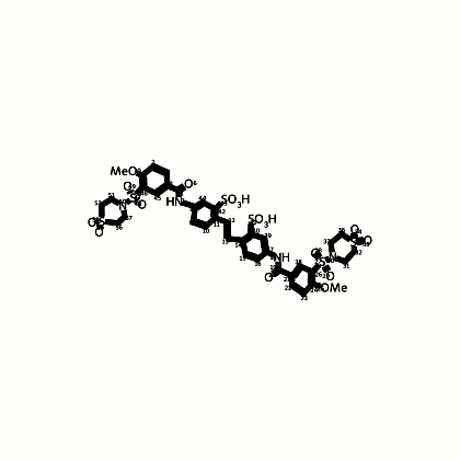 COc1ccc(C(=O)Nc2ccc(/C=C/c3ccc(NC(=O)c4ccc(OC)c(S(=O)(=O)N5CCS(=O)(=O)CC5)c4)cc3S(=O)(=O)O)c(S(=O)(=O)O)c2)cc1S(=O)(=O)N1CCS(=O)(=O)CC1